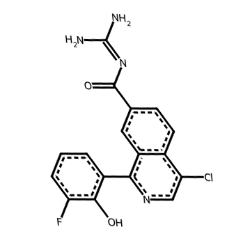 NC(N)=NC(=O)c1ccc2c(Cl)cnc(-c3cccc(F)c3O)c2c1